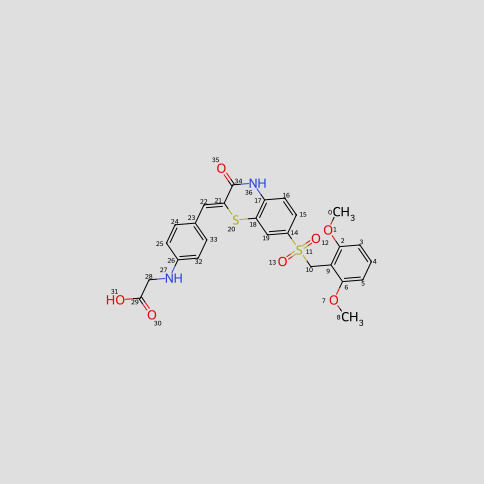 COc1cccc(OC)c1CS(=O)(=O)c1ccc2c(c1)S/C(=C\c1ccc(NCC(=O)O)cc1)C(=O)N2